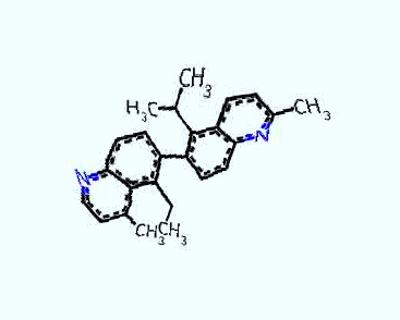 CCc1c(-c2ccc3nc(C)ccc3c2C(C)C)ccc2nccc(C)c12